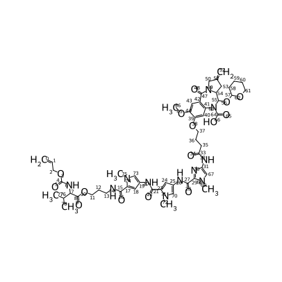 C=CCOC(=O)NC(C(=O)OCCCNC(=O)c1cc(NC(=O)c2cc(NC(=O)c3nc(NC(=O)CCCOc4cc5c(cc4OC)C(=O)N4CC(=C)CC4C(OC4CCCCO4)N5C(=O)O)cn3C)cn2C)cn1C)C(C)C